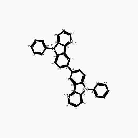 c1ccc(-n2c3ccc(-c4ccc5c(c4)c4ncccc4n5-c4ccccc4)cc3c3ncccc32)cc1